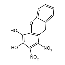 O=[N+]([O-])c1c(O)c(O)c2c(c1[N+](=O)[O-])Cc1ccccc1O2